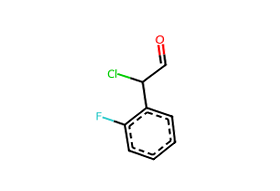 O=CC(Cl)c1ccccc1F